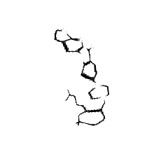 CC(Cl)CCCC1=C(CN2CCN(c3ccc(C(N)=O)c(Oc4cnc5[nH]ccc5c4)c3)CC2)CCC(C)(C)C1